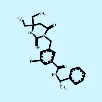 CCC1(CC)CC(=O)N(Cc2cc(F)cc(C(=O)N[C@@H](C)c3ccccc3)c2)C(=N)N1